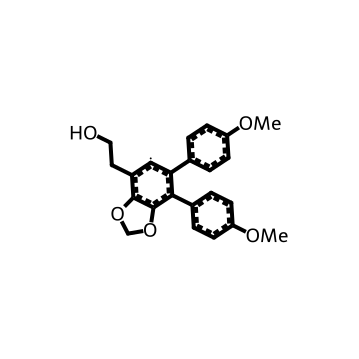 COc1ccc(-c2[c]c(CCO)c3c(c2-c2ccc(OC)cc2)OCO3)cc1